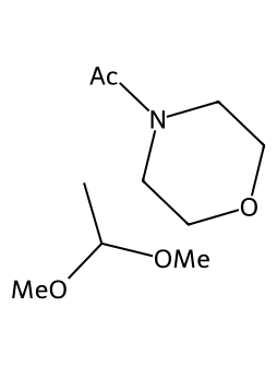 CC(=O)N1CCOCC1.COC(C)OC